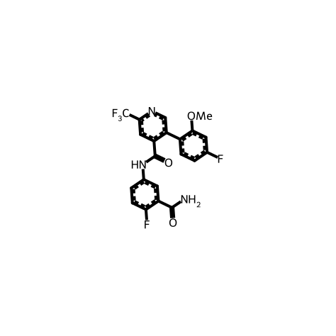 COc1cc(F)ccc1-c1cnc(C(F)(F)F)cc1C(=O)Nc1ccc(F)c(C(N)=O)c1